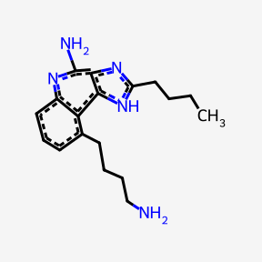 CCCCc1nc2c(N)nc3cccc(CCCCN)c3c2[nH]1